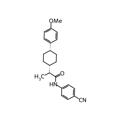 COc1ccc([C@H]2CC[C@@H](C(C)C(=O)Nc3ccc(C#N)cc3)CC2)cc1